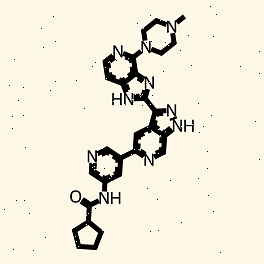 CN1CCN(c2nccc3[nH]c(-c4n[nH]c5cnc(-c6cncc(NC(=O)C7CCCC7)c6)cc45)nc23)CC1